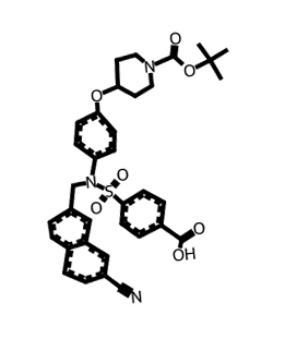 CC(C)(C)OC(=O)N1CCC(Oc2ccc(N(Cc3ccc4ccc(C#N)cc4c3)S(=O)(=O)c3ccc(C(=O)O)cc3)cc2)CC1